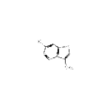 CC(=O)Oc1csc2cc(O)ccc12